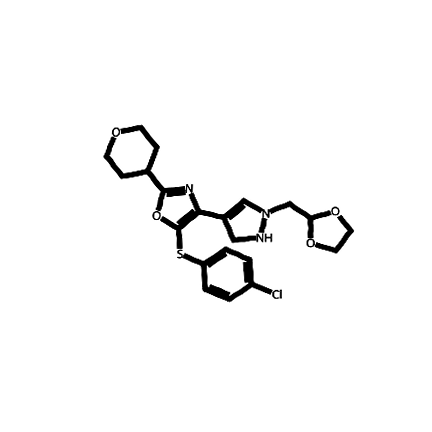 Clc1ccc(Sc2oc(C3CCOCC3)nc2C2=CN(CC3OCCO3)NC2)cc1